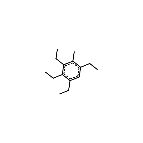 CCc1cc(CC)c(CC)c(CC)c1C